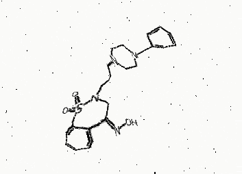 O=S1(=O)c2ccccc2/C(=N/O)CN1CCCN1CCN(c2ccccc2)CC1